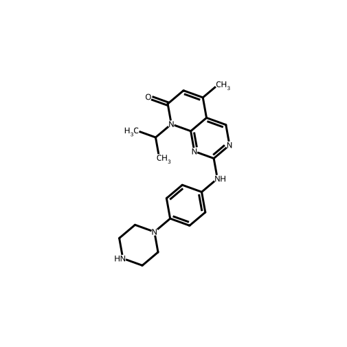 Cc1cc(=O)n(C(C)C)c2nc(Nc3ccc(N4CCNCC4)cc3)ncc12